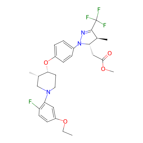 CCOc1ccc(F)c(N2CC[C@@H](Oc3ccc(N4N=C(C(F)(F)F)[C@@H](C)[C@@H]4CC(=O)OC)cc3)[C@@H](C)C2)c1